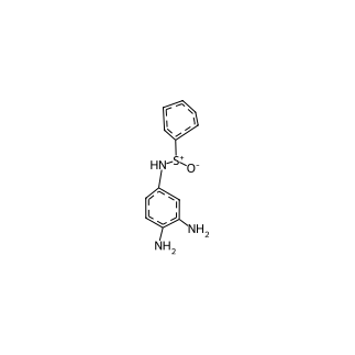 Nc1ccc(N[S+]([O-])c2ccccc2)cc1N